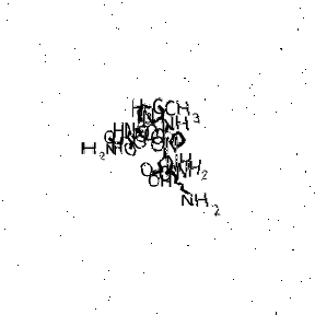 CC(C)[C@H](NC(=O)[C@@H]1CCCN1C(=O)[C@H](CCC(=O)O)NC(=O)[C@@H](N)CCCCN)C(=O)N1CCC[C@H]1C(=O)N[C@@H](CCC(N)=O)C(=O)O